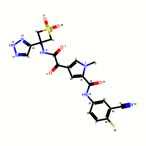 Cn1cc(C(=O)C(=O)NC2(c3cn[nH]n3)CS(=O)(=O)C2)cc1C(=O)Nc1ccc(F)c(C#N)c1